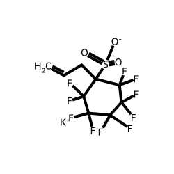 C=CCC1(S(=O)(=O)[O-])C(F)(F)C(F)(F)C(F)(F)C(F)(F)C1(F)F.[K+]